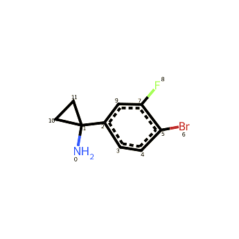 NC1(c2ccc(Br)c(F)c2)CC1